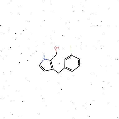 OCc1[nH]ccc1Cc1cccc(F)c1